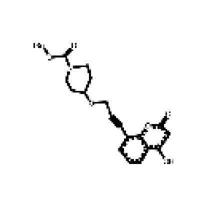 CC(C)(C)OC(=O)N1CCC(OCC#Cc2cccc3c(O)cc(=O)oc23)CC1